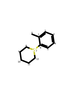 Cc1ccccc1[S+]1CCCCC1